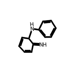 N=C1C=CC=CC1Nc1ccccc1